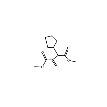 C=C(C(=O)OC)C(C(=O)OC)C1CCCC1